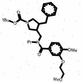 COCCOc1cc(C(=O)N(CC2CN(C(=O)OC(C)(C)C)CC2Cc2ccccc2)C(C)C)ccc1OC